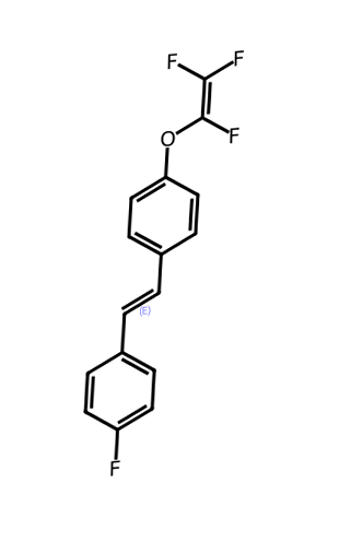 FC(F)=C(F)Oc1ccc(/C=C/c2ccc(F)cc2)cc1